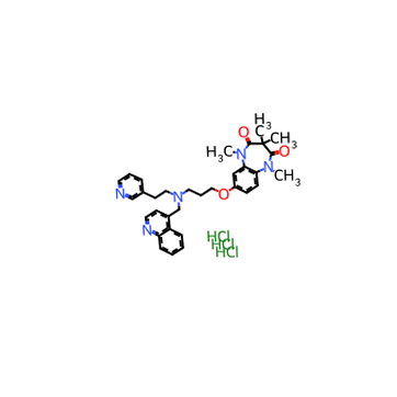 CN1C(=O)C(C)(C)C(=O)N(C)c2cc(OCCCN(CCc3cccnc3)Cc3ccnc4ccccc34)ccc21.Cl.Cl.Cl